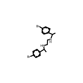 CC(NCCNC(C)c1ccc(Br)cc1)c1ccc(Br)cc1